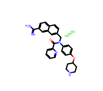 Cl.Cl.Cl.N=C(N)c1ccc2ccc(CN(C(=O)c3ccccn3)c3ccc(OC4CCNCC4)cc3)cc2c1